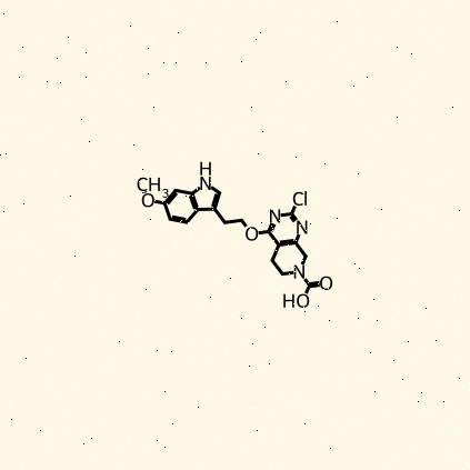 COc1ccc2c(CCOc3nc(Cl)nc4c3CCN(C(=O)O)C4)c[nH]c2c1